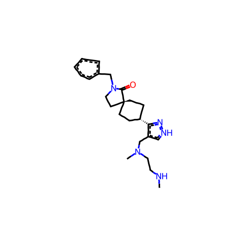 CNCCN(C)Cc1c[nH]nc1[C@H]1CC[C@]2(CCN(Cc3ccccc3)C2=O)CC1